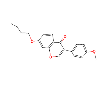 CCCCOc1ccc2c(=O)c(-c3ccc(OC)cc3)coc2c1